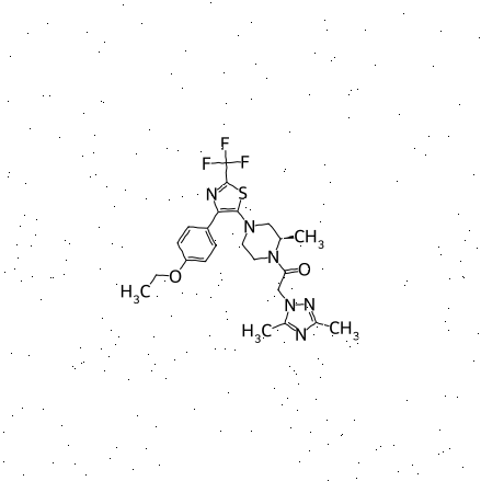 CCOc1ccc(-c2nc(C(F)(F)F)sc2N2CCN(C(=O)Cn3nc(C)nc3C)[C@H](C)C2)cc1